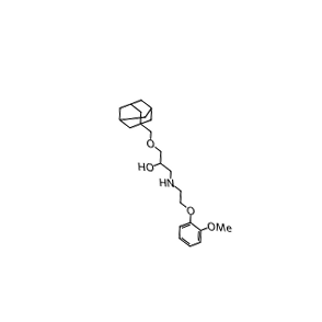 COc1ccccc1OCCNCC(O)COCC12CC3CC(CC(C3)C1)C2